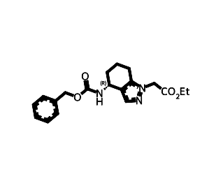 CCOC(=O)Cn1ncc2c1CCC[C@H]2NC(=O)OCc1ccccc1